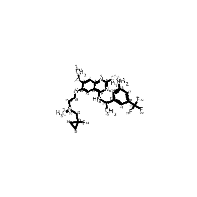 COc1cc2nc(C)nc(N[C@H](C)c3cc(N)cc(C(F)(F)F)c3)c2cc1OCCN(C)CC1(F)CC1